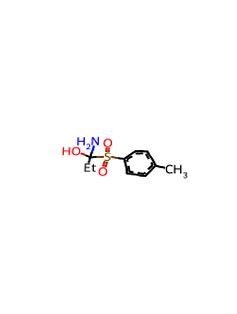 CCC(N)(O)S(=O)(=O)c1ccc(C)cc1